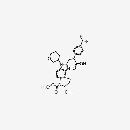 COC(=O)N1c2ccc3c(nc(CC(C(=O)O)c4ccc(C(F)F)cc4)n3[C@@H]3CCCOC3)c2CC[C@@H]1C